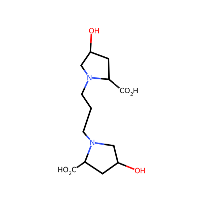 O=C(O)C1CC(O)CN1CCCN1CC(O)CC1C(=O)O